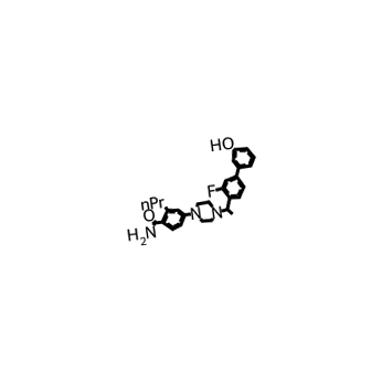 CCCc1cc(N2CCN(C(C)c3ccc(-c4cccc(O)c4)cc3F)CC2)ccc1C(N)=O